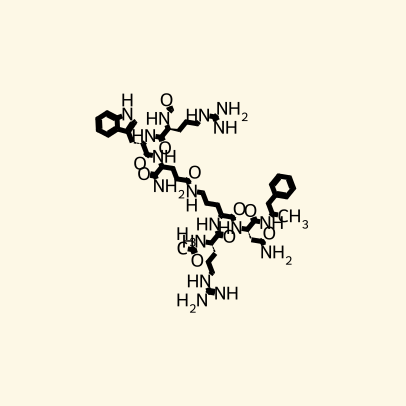 CC(=O)N[C@@H](CCCNC(=N)N)C(=O)NC(CCCNC(=O)CCC(NC(=O)[C@H](Cc1c[nH]c2ccccc12)NC(=O)[C@H](CCCNC(=N)N)NC=O)C(N)=O)C(=O)N[C@@H](CC(N)=O)C(=O)NC(C)Cc1ccccc1